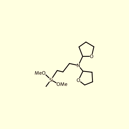 CO[Si](C)(CCCN(C1CCCO1)C1CCCO1)OC